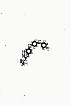 N[C@H](CNO)Cc1ccc(Oc2ccc(Oc3ccc(Cl)cc3)cc2)cc1